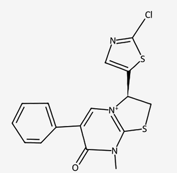 Cn1c2[n+](cc(-c3ccccc3)c1=O)[C@@H](c1cnc(Cl)s1)CS2